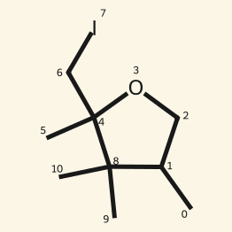 CC1COC(C)(CI)C1(C)C